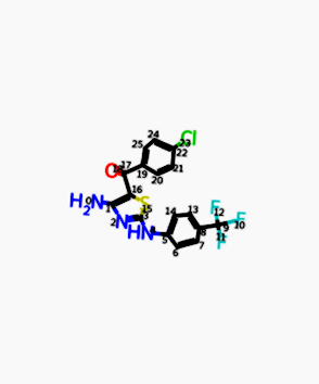 Nc1nc(Nc2ccc(C(F)(F)F)cc2)sc1C(=O)c1ccc(Cl)cc1